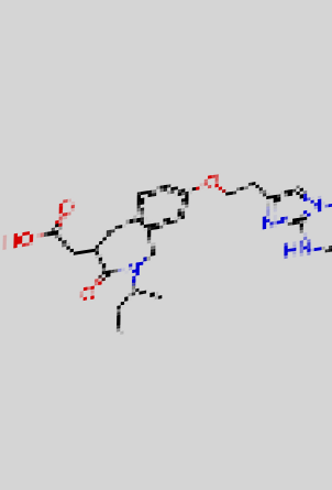 CCC(C)N1Cc2cc(OCCc3cn4c(n3)NCCC4)ccc2CC(CC(=O)O)C1=O